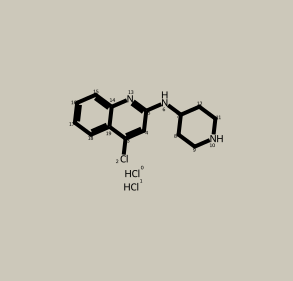 Cl.Cl.Clc1cc(NC2CCNCC2)nc2ccccc12